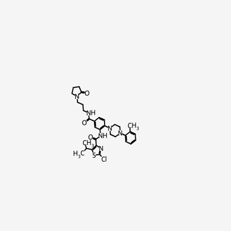 Cc1ccccc1N1CCN(c2ccc(C(=O)NCCCN3CCCC3=O)cc2NC(=O)c2nc(Cl)sc2C(C)C)CC1